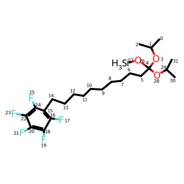 CC(C)OC(CCCCCCCCCCc1c(F)c(F)c(F)c(F)c1F)(O[SiH3])OC(C)C